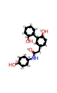 O=C(Cc1ccc(O)c(-c2ccccc2O)c1)Nc1ccc(O)cc1